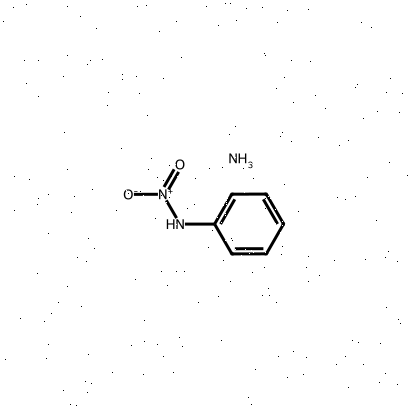 N.O=[N+]([O-])Nc1ccccc1